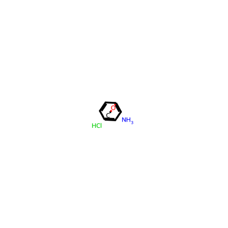 Cl.N.c1cc2ccc1CO2